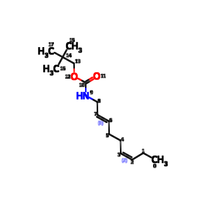 CC/C=C\CC/C=C/CNC(=O)OCC(C)(C)C